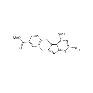 CNc1nc(N)nc2c(C)nn(Cc3ccc(C(=O)OC)cc3C)c12